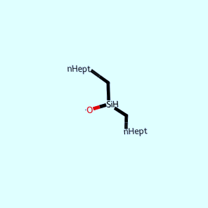 CCCCCCCC[SiH]([O])CCCCCCCC